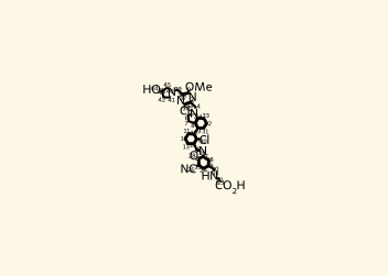 COc1nc(CN2CCc3c(-c4cccc(-c5nc6cc(CNCC(=O)O)cc(C#N)c6o5)c4Cl)cccc32)c(C(F)(F)F)nc1CN1CC[C@@H](O)C1